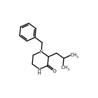 CC(C)CC1C(=O)NCCN1Cc1ccccc1